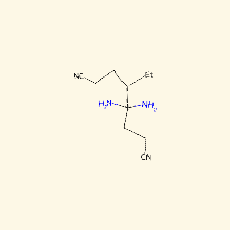 CCC(CCC#N)C(N)(N)CCC#N